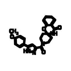 COc1ccc(-c2cc(C(=O)N3CCC4(CC3)NC(=O)c3ccccc3O4)n[nH]2)cc1